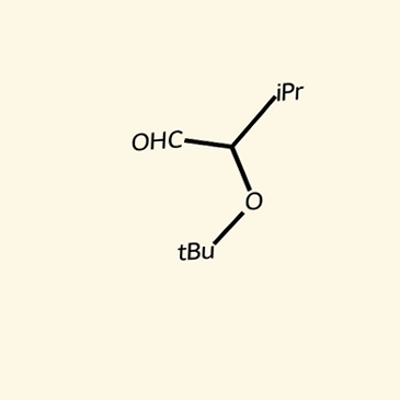 CC(C)C(C=O)OC(C)(C)C